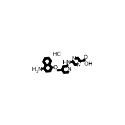 Cl.Nc1ccc(OCc2ccnc(Nc3cnc(C(=O)O)cn3)c2)c2ccccc12